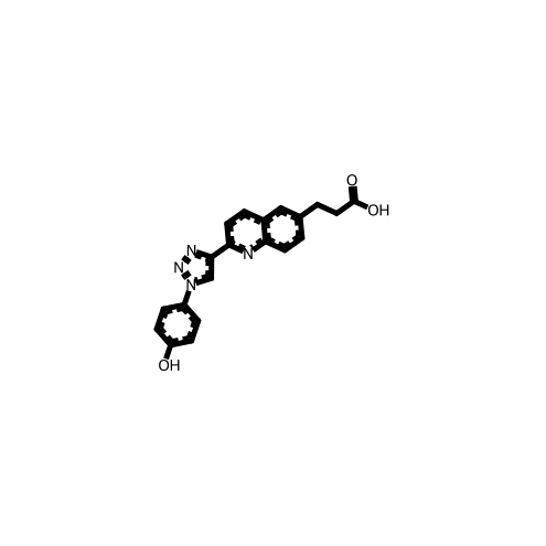 O=C(O)CCc1ccc2nc(-c3cn(-c4ccc(O)cc4)nn3)ccc2c1